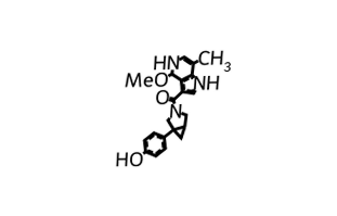 COC1NC=C(C)c2[nH]cc(C(=O)N3CC4CC4(c4ccc(O)cc4)C3)c21